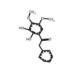 COc1cc(C(=O)Cc2ccccc2)c(O)c(O)c1OC